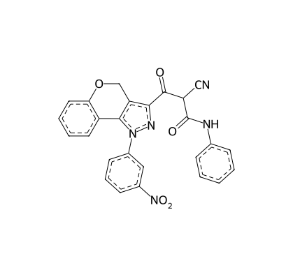 N#CC(C(=O)Nc1ccccc1)C(=O)c1nn(-c2cccc([N+](=O)[O-])c2)c2c1COc1ccccc1-2